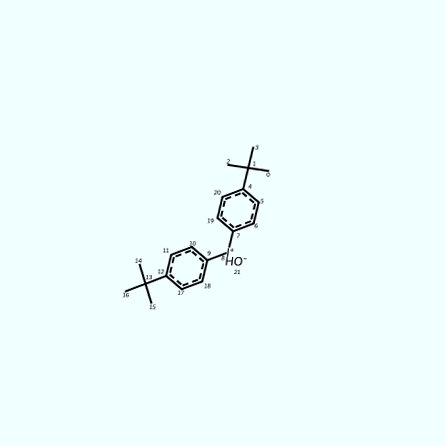 CC(C)(C)c1ccc([I+]c2ccc(C(C)(C)C)cc2)cc1.[OH-]